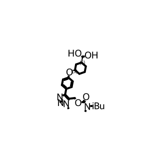 CCC(C)N(C)C(=O)OCc1c(-c2ccc(O[C@H]3CCC[C@H](C(O)O)C3)cc2)nnn1C